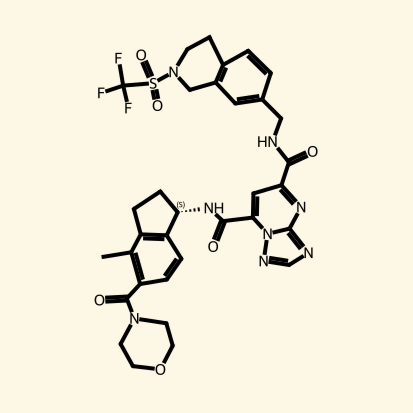 Cc1c(C(=O)N2CCOCC2)ccc2c1CC[C@@H]2NC(=O)c1cc(C(=O)NCc2ccc3c(c2)CN(S(=O)(=O)C(F)(F)F)CC3)nc2ncnn12